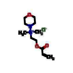 C=CC(=O)OCC[N+](C)(C)N1CCOCC1.[Cl-]